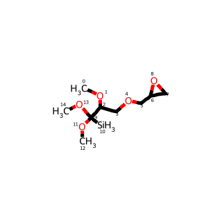 COC(COCC1CO1)C([SiH3])(OC)OC